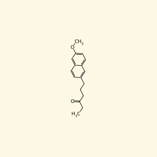 CCC(=O)CCCc1ccc2cc(OC)ccc2c1